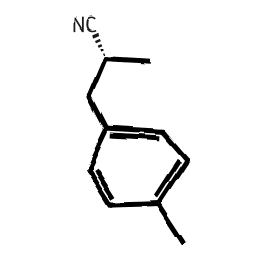 Cc1ccc(C[C@@H](C)C#N)cc1